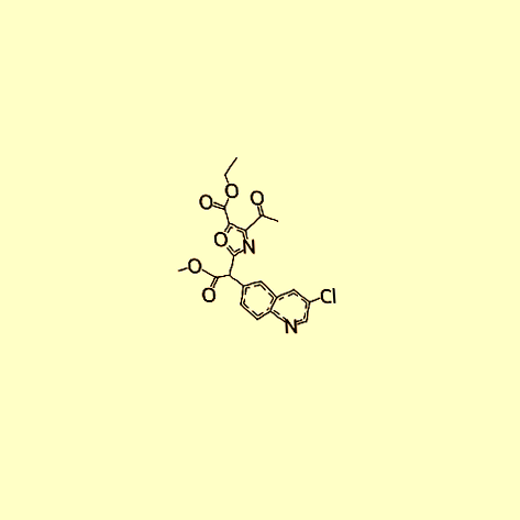 CCOC(=O)c1oc(C(C(=O)OC)c2ccc3ncc(Cl)cc3c2)nc1C(C)=O